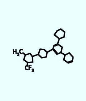 CC1CC(C2CCC(C3=CC(C4CC=CCC4)CC(C4CCCCC4)=C3)CC2)CC(C(F)(F)F)C1